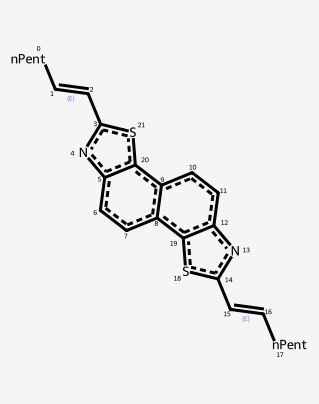 CCCCC/C=C/c1nc2ccc3c(ccc4nc(/C=C/CCCCC)sc43)c2s1